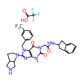 Cn1c(=O)n(CC(=O)NC2Cc3ccccc3C2)c(=O)c2c1nc(N1CCC3CNCC31)n2Cc1cccc(C(F)(F)F)c1.O=C(O)C(F)(F)F